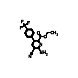 CCOC(=O)c1nc(N)c(C#N)cc1-c1ccc(C(F)(F)F)cc1